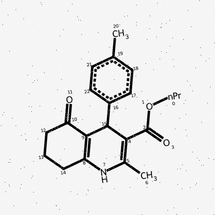 CCCOC(=O)C1=C(C)NC2=C(C(=O)CCC2)C1c1ccc(C)cc1